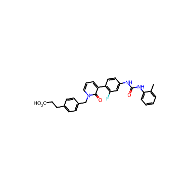 Cc1ccccc1NC(=O)Nc1ccc(-c2cccn(Cc3ccc(CCC(=O)O)cc3)c2=O)c(F)c1